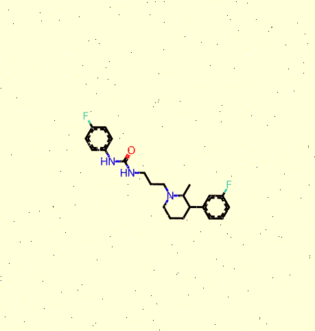 CC1C(c2cccc(F)c2)CCCN1CCCNC(=O)Nc1ccc(F)cc1